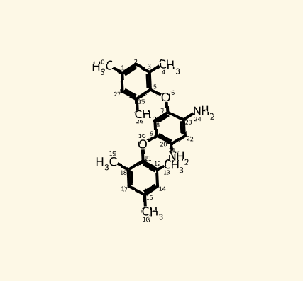 Cc1cc(C)c(Oc2cc(Oc3c(C)cc(C)cc3C)c(N)cc2N)c(C)c1